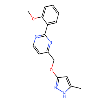 COc1ccccc1-c1nccc(COc2cc(C)[nH]n2)n1